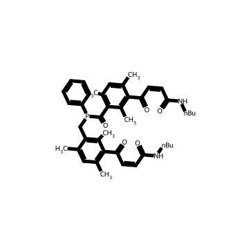 CCCCNC(=O)/C=C\C(=O)c1c(C)cc(C)c(CP(C(=O)c2c(C)cc(C)c(C(=O)/C=C\C(=O)NCCCC)c2C)c2ccccc2)c1C